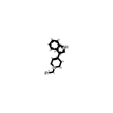 CC(C)CN1CC=C(c2c[nH]c3ccccc23)CC1